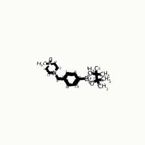 CC1(C)OB(c2ccc(CN3CCP(C)(=O)CC3)cc2)OC1(C)C